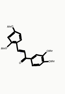 COc1ccc(/C=C/C(=O)c2ccc(OC)c(OC)c2)c(OC)c1